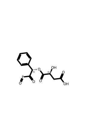 O=PC(=O)[C@@H](OC(=O)[C@@H](O)CC(=O)O)c1ccccc1